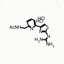 CC(=O)NCc1cccc(-c2csc(N=C(N)N)n2)n1.Cl.Cl